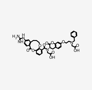 N=C(N)Nc1ccc2c(c1)CCCOc1c(cccc1C(=O)N(CC(=O)O)[C@H]1Cc3ccc(OCCN(CC(=O)O)Cc4ccccc4)cc3OC1=O)OC2=O